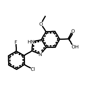 COc1cc(C(=O)O)cc2nc(-c3c(F)cccc3Cl)[nH]c12